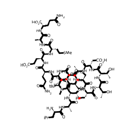 CSCC[C@H](NC(=O)[C@H](CCC(=O)O)NC(=O)[C@H](CCC(N)=O)NC(=O)[C@@H](NC(=O)[C@@H](NC(=O)[C@H](CO)NC(=O)[C@H](C)NC(=O)[C@H](CC(=O)O)NC(=O)[C@@H](NC(=O)[C@@H](NC(=O)[C@H](CC(C)C)NC(=O)[C@H](CS)NC(=O)[C@@H](NC(=O)[C@@H](N(C)C(=O)[C@@H](NC(=O)[C@H](C)NC(=O)[C@@H](N)CC(C)C)[C@@H](C)O)C(C)(C)C)C(C)C)[C@@H](C)O)[C@@H](C)O)C(C)C)[C@@H](C)O)C(=O)N[C@@H](C)C(=O)N[C@@H](CCC(N)=O)C(=O)O